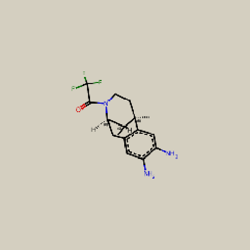 C[C@@H]1[C@H]2Cc3cc(N)c(N)cc3[C@]1(C)CCN2C(=O)C(F)(F)F